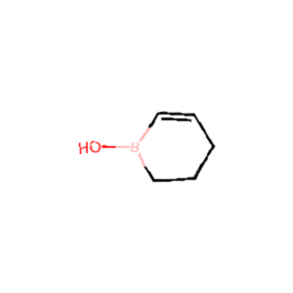 OB1C=CCCC1